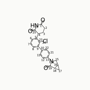 O=C1CCC(c2cccc(-c3ccc(N4CC5CC5C4=O)cc3)c2Cl)C(=O)N1